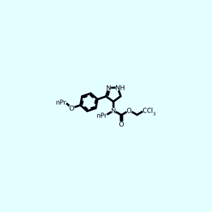 CCCOc1ccc(C2=NNCC2N(CCC)C(=O)OCC(Cl)(Cl)Cl)cc1